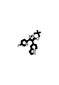 CC1(C)COc2c(-c3ccn4nccc4c3)c(-c3ccc(F)cn3)nn2C1